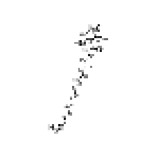 CCCCCCCCCCCCCCCCCC(=O)c1c(O)ccc(Cl)c1O